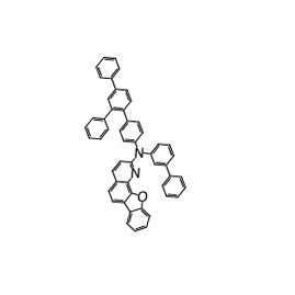 c1ccc(-c2cccc(N(c3ccc(-c4ccc(-c5ccccc5)cc4-c4ccccc4)cc3)c3ccc4ccc5c6ccccc6oc5c4n3)c2)cc1